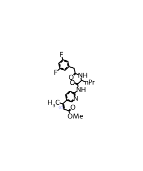 CCCC(NC(=O)Cc1cc(F)cc(F)c1)C(=O)Nc1ccc(/C(C)=C\C(=O)OC)cn1